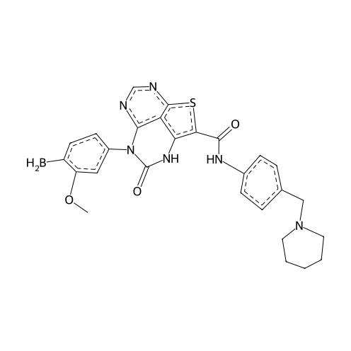 Bc1ccc(N2C(=O)Nc3c(C(=O)Nc4ccc(CN5CCCCC5)cc4)sc4ncnc2c34)cc1OC